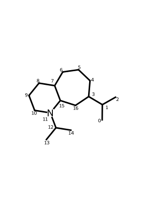 CC(C)C1CCCC2CCCN(C(C)C)C2C1